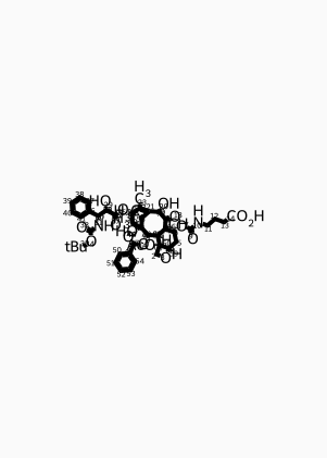 CC(=O)O[C@@]12CO[C@@H]1CC(OC(=O)NCCCC(=O)O)[C@@]1(C)C(=O)[C@H](O)C3=C(C)[C@@H](OC(=O)[C@H](O)[C@@H](NC(=O)OC(C)(C)C)c4ccccc4)C[C@@](O)([C@@H](OC(=O)c4ccccc4)[C@H]21)C3(C)C